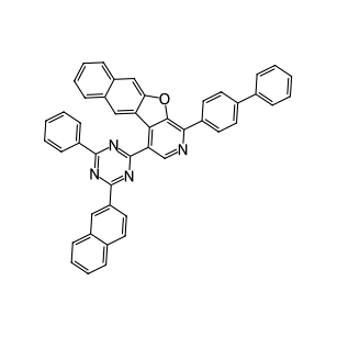 c1ccc(-c2ccc(-c3ncc(-c4nc(-c5ccccc5)nc(-c5ccc6ccccc6c5)n4)c4c3oc3cc5ccccc5cc34)cc2)cc1